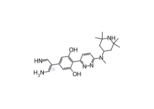 CN(c1ccc(-c2c(O)cc(/C(C=N)=C/N)cc2O)nn1)C1CC(C)(C)NC(C)(C)C1